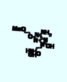 COCCOc1nc(N)c2nc(O)n(CCC(=O)NO)c2n1